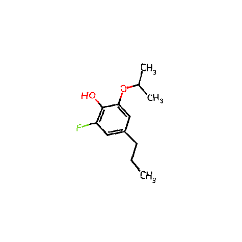 CCCc1cc(F)c(O)c(OC(C)C)c1